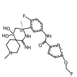 CN1CCC2(CC1)C(=N)N[C@](C)(c1cc(NC(=O)c3ccc(OCF)cn3)ccc1F)CS2(O)O